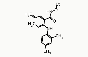 C=C/C=C(C(=O)NOCC)\C(=C/C)Nc1ccc(C)cc1C